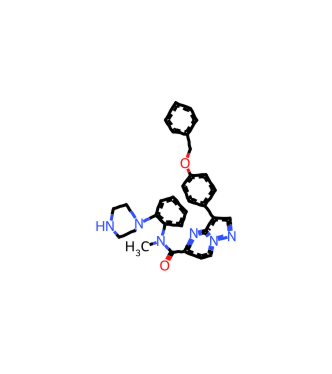 CN(C(=O)c1ccn2ncc(-c3ccc(OCc4ccccc4)cc3)c2n1)c1ccccc1N1CCNCC1